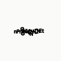 CCCS(=O)(=O)NCc1ccc(N2CCN(CC)CC2)nc1